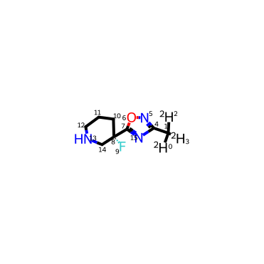 [2H]C([2H])([2H])c1noc([C@]2(F)CCCNC2)n1